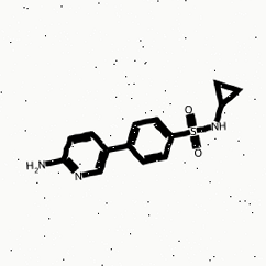 Nc1ccc(-c2ccc(S(=O)(=O)NC3CC3)cc2)cn1